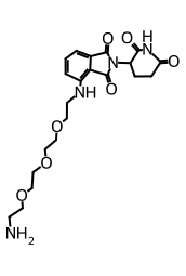 NCCOCCOCCOCCNc1cccc2c1C(=O)N(C1CCC(=O)NC1=O)C2=O